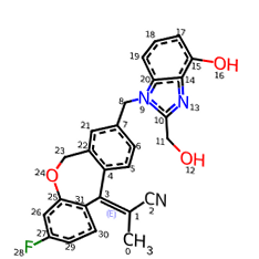 C/C(C#N)=C1/c2ccc(Cn3c(CO)nc4c(O)cccc43)cc2COc2cc(F)ccc21